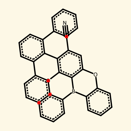 N#Cc1cc2c3c(c1-c1c(-c4ccccc4)cccc1-c1ccccc1)Oc1ccccc1B3c1ccccc1O2